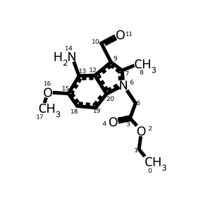 CCOC(=O)Cn1c(C)c(C=O)c2c(N)c(OC)ccc21